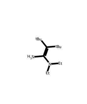 CCN(CC)C([SiH3])=C(C(C)(C)C)C(C)(C)C